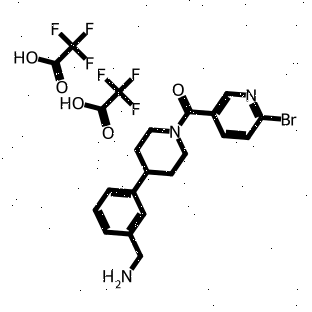 NCc1cccc(C2CCN(C(=O)c3ccc(Br)nc3)CC2)c1.O=C(O)C(F)(F)F.O=C(O)C(F)(F)F